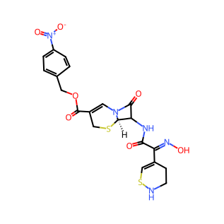 O=C(NC1C(=O)N2C=C(C(=O)OCc3ccc([N+](=O)[O-])cc3)CS[C@H]12)C(=NO)C1=CSNCC1